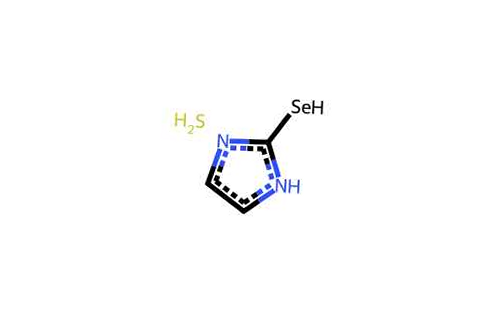 S.[SeH]c1ncc[nH]1